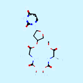 CC(C)[C@@H](NC(=O)OC(C)(C)C)C(=O)OC[C@H]1O[C@@H](n2ccc(=O)[nH]c2=O)CC1OC(=O)[C@H](NC(=O)OC(C)(C)C)C(C)C